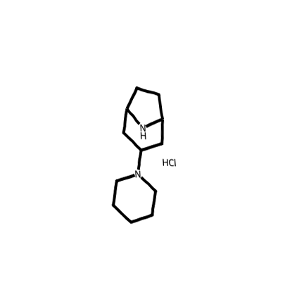 C1CCN(C2CC3CCC(C2)N3)CC1.Cl